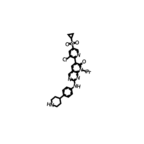 CC(C)n1c(=O)c(-c2ncc(S(=O)(=O)C3CC3)cc2Cl)cc2cnc(Nc3ccc(C4CCNCC4)cc3)nc21